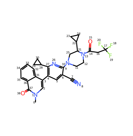 Cn1cc(-c2cc(C#N)c(N3CCN(C(=O)CC(F)(F)F)C(C4CC4)C3)nc2C2CC2)c2ccccc2c1=O